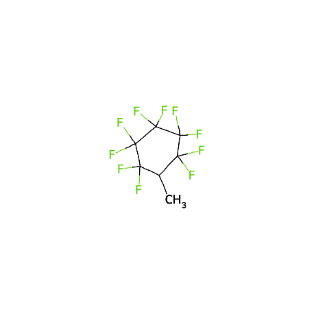 CC1C(F)(F)C(F)(F)C(F)(F)C(F)(F)C1(F)F